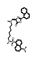 CN(/C=C1/N=C(c2cccc3ccccc23)OC1=O)CCCCCCN(C)S(=O)(=O)c1cccc2c(N(C)C)cccc12